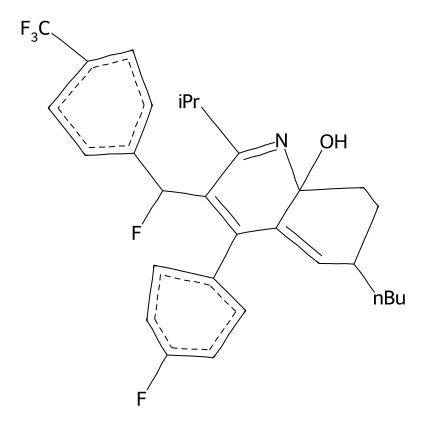 CCCCC1C=C2C(c3ccc(F)cc3)=C(C(F)c3ccc(C(F)(F)F)cc3)C(C(C)C)=NC2(O)CC1